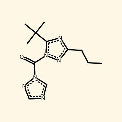 CCCc1nc(C(C)(C)C)n(C(=O)n2cncn2)n1